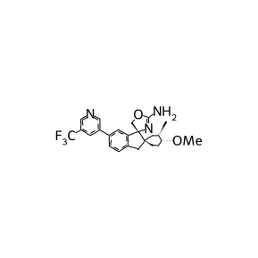 CO[C@@H]1CC[C@]2(Cc3ccc(-c4cncc(C(F)(F)F)c4)cc3[C@@]23COC(N)=N3)C[C@H]1C